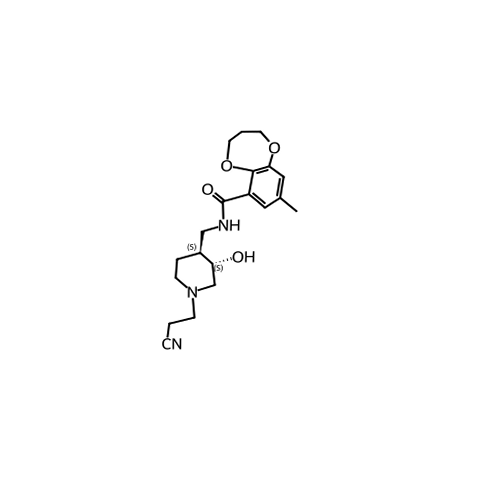 Cc1cc2c(c(C(=O)NC[C@@H]3CCN(CCC#N)C[C@H]3O)c1)OCCCO2